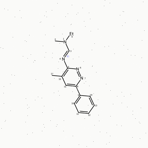 CCN(C)/C=N/c1nnc(-c2ccccc2)cc1C